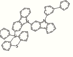 c1ccc(-c2cccc(-n3c4ccccc4c4ccc(-n5c6ccccc6c6ccc([Si]7(c8ccccc8)c8ccccc8Sc8ccccc87)cc65)cc43)c2)cc1